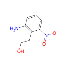 Nc1cccc([N+](=O)[O-])c1CCO